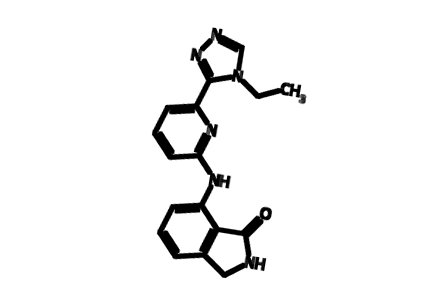 CCn1cnnc1-c1cccc(Nc2cccc3c2C(=O)NC3)n1